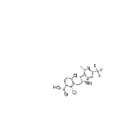 Cc1nc(C(F)(F)F)cc2[nH]c(Cc3c(Cl)ccc(C(=O)O)c3Cl)cc12